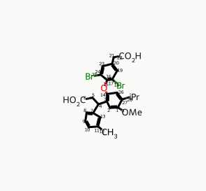 COc1cc(C(CC(=O)O)c2cccc(C)c2)c(Oc2c(Br)cc(CC(=O)O)cc2Br)cc1C(C)C